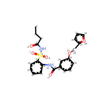 CCCC(=O)NS(=O)(=O)c1ccccc1NC(=O)c1cccc(OCc2ccco2)c1